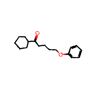 O=C(CCCCOc1ccccc1)C1CCCCC1